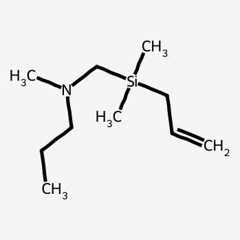 C=CC[Si](C)(C)CN(C)CCC